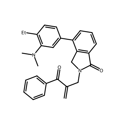 C=C(CN1Cc2c(cccc2-c2ccc(CC)c(N(C)C)c2)C1=O)C(=O)c1ccccc1